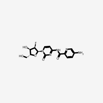 Nc1ccc(C(=O)Nc2ccn([C@H]3O[C@H](CO)[C@@H](O)[C@H]3F)c(=O)n2)nc1